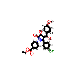 CCOC(=O)c1ccc(N2C(=O)C(=O)C(C(=O)c3ccc(OC)cc3)C2c2ccc(Br)cc2)cc1